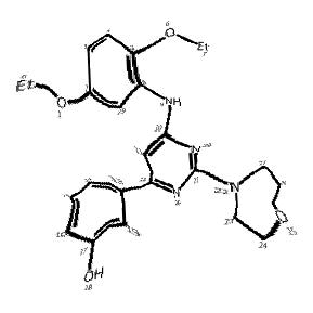 CCOc1ccc(OCC)c(Nc2cc(-c3cccc(O)c3)nc(N3CCOCC3)n2)c1